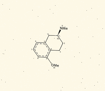 CN[C@H]1CCc2c(cccc2OC)C1